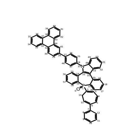 O=P1(C2=CC=CC(c3ccccc3)=CC2)c2ccccc2-c2c(n(-c3ccc(-c4ccc5c6ccccc6c6ccccc6c5c4)cc3)c3ccccc23)-c2ccccc21